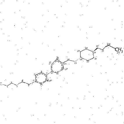 CCCCCCc1ccc(-c2ccc(CC[C@H]3CC[C@H](CCCC)CC3)cc2)nc1